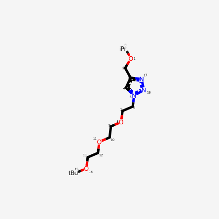 CC(C)OCc1cn(CCOCCOCCOC(C)(C)C)nn1